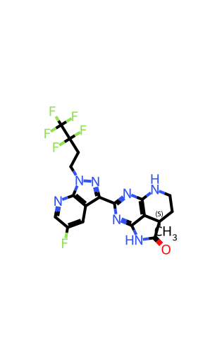 C[C@]12CCNc3nc(-c4nn(CCC(F)(F)C(F)(F)F)c5ncc(F)cc45)nc(c31)NC2=O